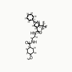 COC1CCC(C(=O)NCCNC(=O)c2cn(-c3ccccc3)nc2C(F)(F)F)CC1